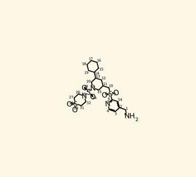 NCc1ccnc(S(=O)(=O)CC2CC(C3CCCCC3)CN(S(=O)(=O)N3CCS(=O)(=O)CC3)C2)c1